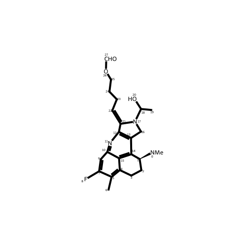 CN[C@H]1CCc2c(C)c(F)cc3nc4c(c1c23)CN(C(C)O)/C4=C\CCCOC=O